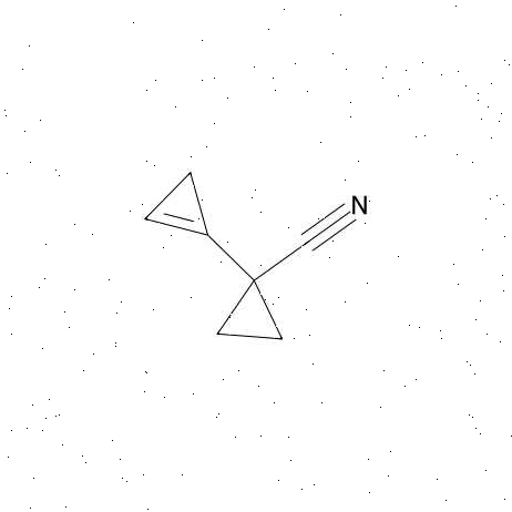 N#CC1(C2=CC2)CC1